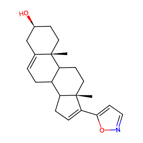 C[C@]12CC[C@H](O)CC1=CCC1C2CC[C@]2(C)C(c3ccno3)=CCC12